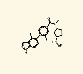 CCCN[C@H]1CC[C@@H](N(C)C(=O)c2ccc(-c3ccc4[nH]ncc4c3C)c(C)c2)C1